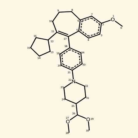 COc1ccc2c(c1)CCCC(C1CCCC1)=C2c1ccc(N2CCC(C(OC)OC)CC2)cc1